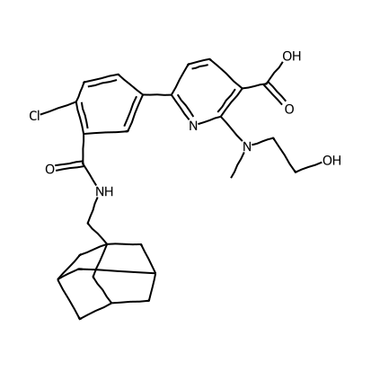 CN(CCO)c1nc(-c2ccc(Cl)c(C(=O)NCC34CC5CC(CC(C5)C3)C4)c2)ccc1C(=O)O